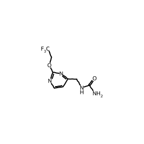 NC(=O)NCc1ccnc(OCC(F)(F)F)n1